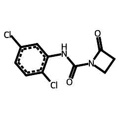 O=C1CCN1C(=O)Nc1cc(Cl)ccc1Cl